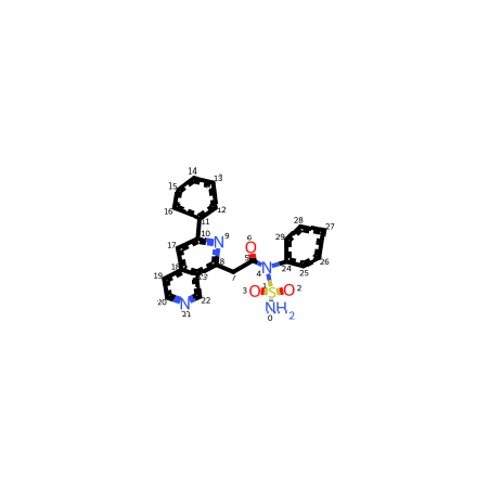 NS(=O)(=O)N(C(=O)Cc1nc(-c2ccccc2)cc2ccncc12)c1ccccc1